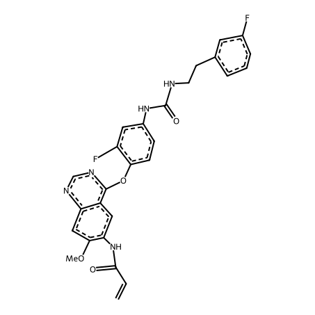 C=CC(=O)Nc1cc2c(Oc3ccc(NC(=O)NCCc4cccc(F)c4)cc3F)ncnc2cc1OC